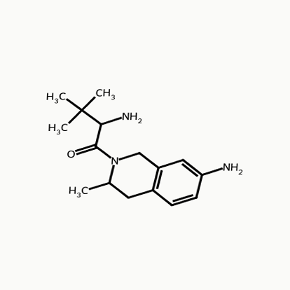 CC1Cc2ccc(N)cc2CN1C(=O)C(N)C(C)(C)C